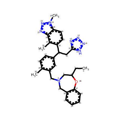 CCC1CN(Cc2cc(C(Cc3nnn[nH]3)c3ccc4c(nnn4C)c3C)ccc2C)Cc2ccccc2O1